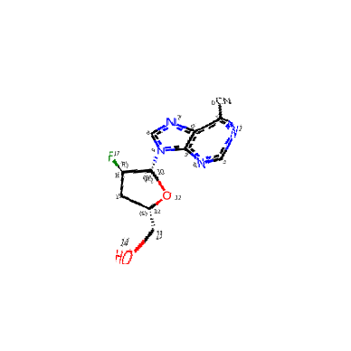 N#Cc1ncnc2c1ncn2[C@@H]1O[C@H](CO)C[C@H]1F